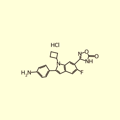 Cl.Nc1ccc(-c2cc3cc(F)c(-c4noc(=O)[nH]4)cc3n2C2CCC2)cc1